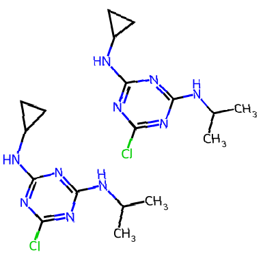 CC(C)Nc1nc(Cl)nc(NC2CC2)n1.CC(C)Nc1nc(Cl)nc(NC2CC2)n1